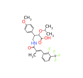 COc1ccc(C(CNC(=O)C(C)=Cc2cccc(C(F)(F)F)c2F)C(OC(C)C)C(=O)O)cc1